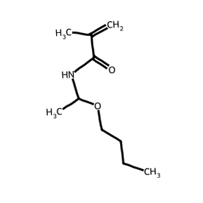 C=C(C)C(=O)NC(C)OCCCC